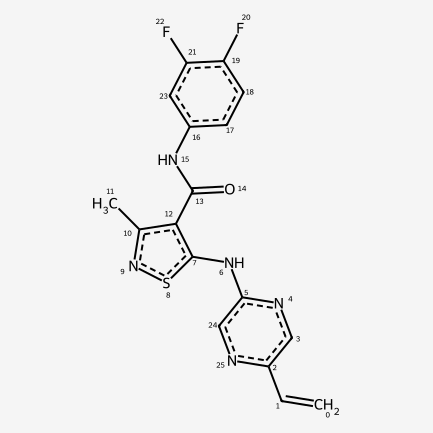 C=Cc1cnc(Nc2snc(C)c2C(=O)Nc2ccc(F)c(F)c2)cn1